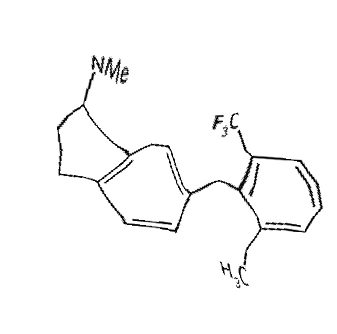 CNC1CCc2ccc(-c3c(C)cccc3C(F)(F)F)cc21